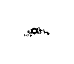 C=CCSc1nc2ccc(S(=O)(=O)O)cc2[nH]1